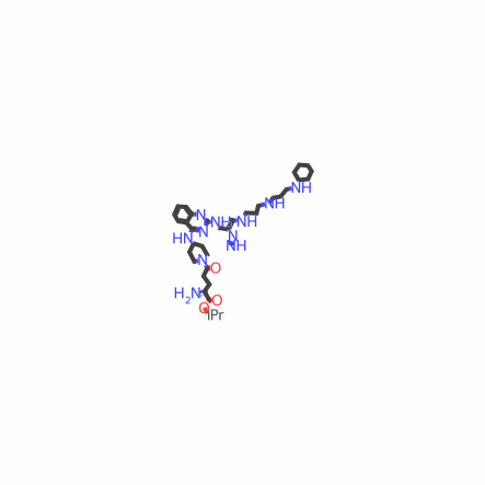 CC(C)OC(=O)[C@@H](N)CCC(=O)N1CCC(Nc2nc(NC/C(=C/NCCCNCCCNC3CCCCC3)N=N)nc3ccccc23)CC1